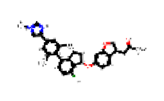 COC(=O)CC1COc2cc(O[C@@H]3CCc4c(-c5c(C)cc(-c6cn(C)cn6)cc5C)ccc(F)c43)ccc21